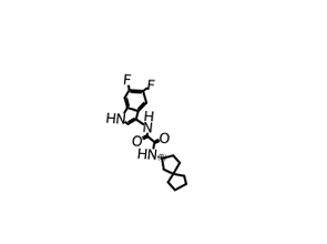 O=C(Nc1c[nH]c2cc(F)c(F)cc12)C(=O)N[C@@H]1CCC2(CCCC2)C1